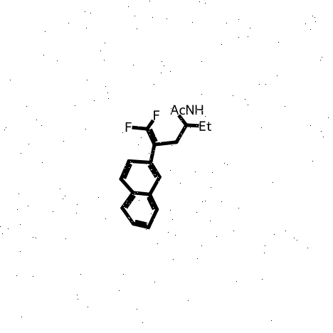 CCC(CC(=C(F)F)c1ccc2ccccc2c1)NC(C)=O